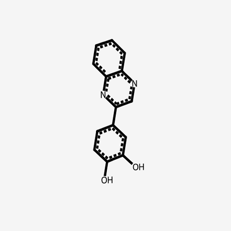 Oc1ccc(-c2cnc3ccccc3n2)cc1O